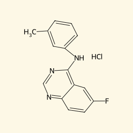 Cc1cccc(Nc2ncnc3ccc(F)cc23)c1.Cl